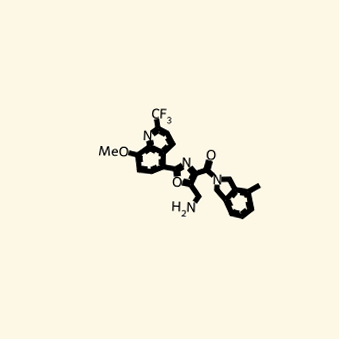 COc1ccc(-c2nc(C(=O)N3Cc4cccc(C)c4C3)c(CN)o2)c2ccc(C(F)(F)F)nc12